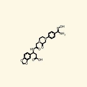 NC(=NO)c1ccc(N2CCN(CC(=O)NC(CC(=O)O)c3ccc4c(c3)OCO4)C(=O)C2)cc1